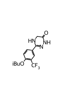 CC(C)COc1ccc(C2=NNC(=O)CN2)cc1C(F)(F)F